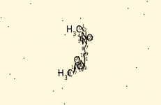 C/C=C\n1ccn(CCCCCn2ccn(/C=C/C)c2=O)c1=O